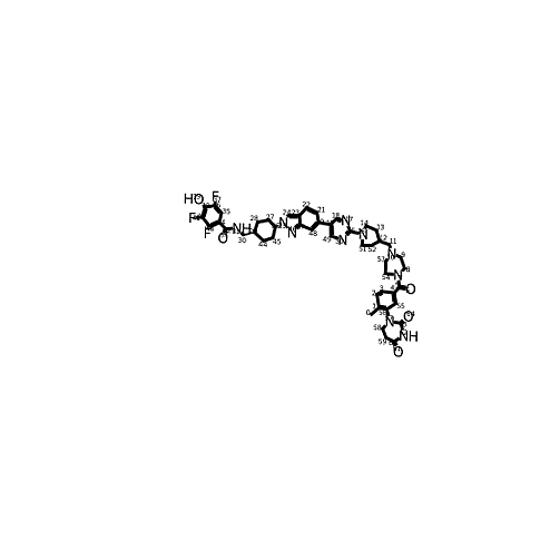 Cc1ccc(C(=O)N2CCN(CC3CCN(c4ncc(-c5ccc6cn([C@H]7CC[C@H](CNC(=O)c8cc(F)c(O)c(F)c8F)CC7)nc6c5)cn4)CC3)CC2)cc1N1CCC(=O)NC1=O